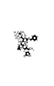 C=CC(=O)[C@H](C[C@@H]1CCNC1=O)NC(=O)[C@H](CC1CC1)NC(O)[C@@H](NC(=O)OCc1ccccc1)[C@@H](C)OC(C)(C)C